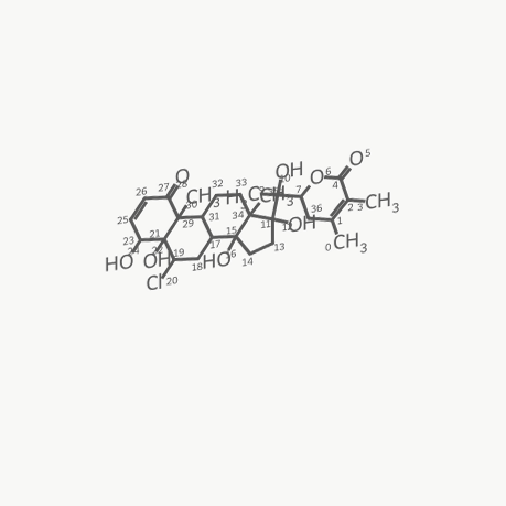 CC1=C(C)C(=O)OC(C(C)(O)C2(O)CCC3(O)C4CC(Cl)C5(O)C(O)C=CC(=O)C5(C)C4CCC32C)C1